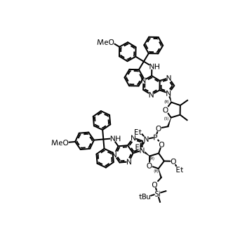 CCOC1C(OP(OC[C@H]2O[C@@H](n3cnc4c(NC(c5ccccc5)(c5ccccc5)c5ccc(OC)cc5)ncnc43)C(C)C2C)N(CC)CC)[C@H](n2cnc3c(NC(c4ccccc4)(c4ccccc4)c4ccc(OC)cc4)ncnc32)O[C@@H]1CO[Si](C)(C)C(C)(C)C